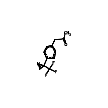 CC(=O)Cc1ccc(C2(C(F)(F)F)C=N2)cc1